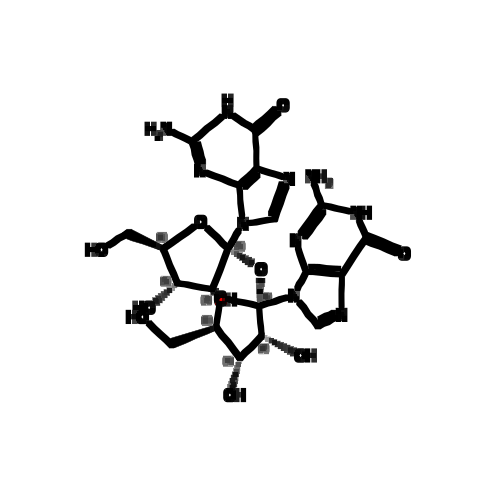 Nc1nc2c(ncn2[C@]2(O[C@@]3(n4cnc5c(=O)[nH]c(N)nc54)O[C@H](CO)[C@@H](O)[C@H]3O)O[C@H](CO)[C@@H](O)[C@H]2O)c(=O)[nH]1